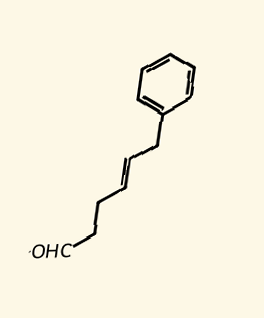 O=[C]CCC=CCc1ccccc1